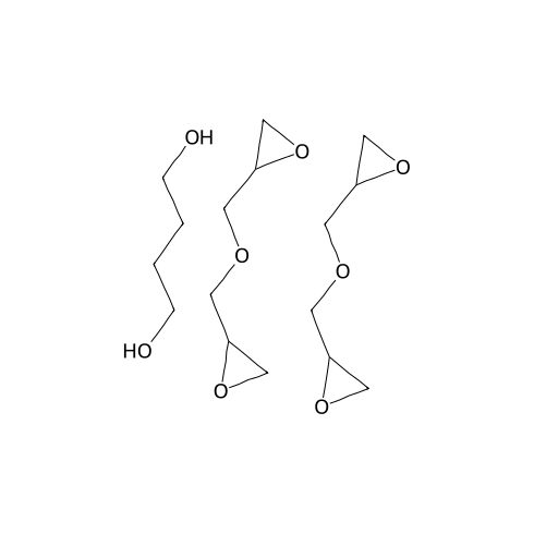 C(OCC1CO1)C1CO1.C(OCC1CO1)C1CO1.OCCCCO